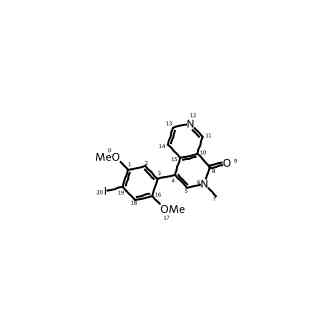 COc1cc(-c2cn(C)c(=O)c3cnccc23)c(OC)cc1I